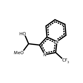 COC(O)c1nc(C(F)(F)F)n2ccccc12